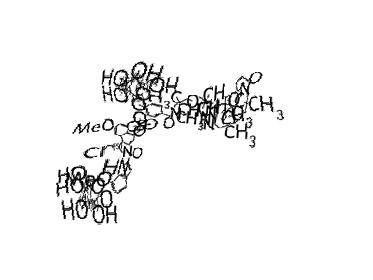 COc1ccc2c(OS(=O)(=O)Oc3cc(C(=O)N(C)CC(C)(C)COCC(C)(C)Cn4cc(CC(C)(C)COCC(C)(C)CN5C(=O)C=CC5=O)nn4)ccc3O[C@@H]3O[C@H](CO)[C@H](O)[C@H](O)[C@H]3O)cc3c(c2c1)[C@H](CCl)CN3C(=O)c1cc2ccc(OC3O[C@H](CO)[C@H](O)[C@H](O)[C@H]3O)c(OC)c2[nH]1